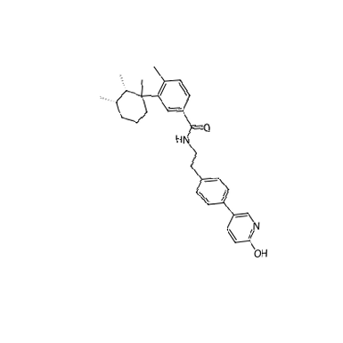 Cc1ccc(C(=O)NCCc2ccc(-c3ccc(O)nc3)cc2)cc1C1(C)CCC[C@H](C)[C@@H]1C